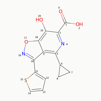 O=C(O)c1nc(C2CC2)c2c(-c3cccs3)noc2c1O